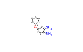 Nc1ccc(Oc2ccccc2)cc1N